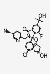 CC(C)(O)c1cc(F)c2c(c1)C(=O)N(Cc1ccc(C#N)cn1)[C@@]2(O[C@H]1CC[C@@H](O)C1)c1ccc(Cl)cc1